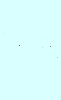 C[C@@H](C1CCOCC1)n1cnc(C(=O)N2C[C@@H]3C(C4=NOC(C)(C)C4)[C@@H]3C2)c1